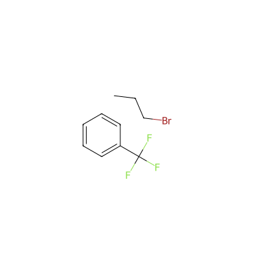 CCCBr.FC(F)(F)c1ccccc1